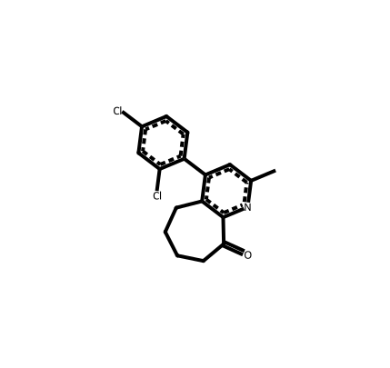 Cc1cc(-c2ccc(Cl)cc2Cl)c2c(n1)C(=O)CCCC2